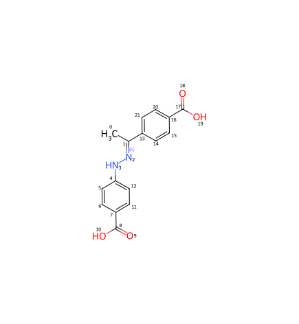 C/C(=N\Nc1ccc(C(=O)O)cc1)c1ccc(C(=O)O)cc1